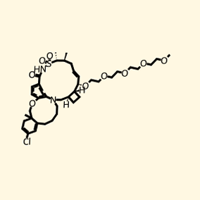 COCCOCCOCCOCCO[C@H]1/C=C/C[C@H](C)[C@@H](C)S(=O)(=O)NC(=O)c2ccc3c(c2)N(CCCCC2=CC(Cl)=CCC2(C)CO3)C[C@@H]2CC[C@H]21